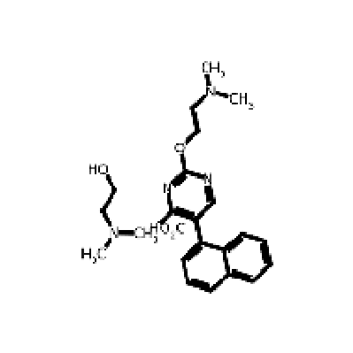 CN(C)CCO.CN(C)CCOc1ncc(-c2cccc3ccccc23)c(C(=O)O)n1